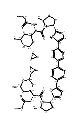 COC(=O)N[C@H](C(=O)N1[C@@H](C)CC[C@H]1c1ncc(-c2ccc(-c3ccc(-c4cnc([C@@H]5CC[C@H](C)N5C(=O)[C@@H](NC(=O)OC)[C@H]5CC(C6CC6)O[C@@H](C)C5)[nH]4)cc3)cc2)[nH]1)[C@@H]1C[C@H](C)O[C@@H](C2CC2)C1